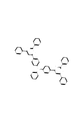 c1ccc(-c2cc(-c3ccc(N(c4ccccc4)c4ccc(-c5cc(-c6ccccc6)nc(-c6ccccc6)n5)cc4)cc3)nc(-c3ccccc3)n2)cc1